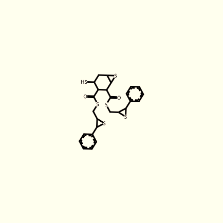 O=C(SCC1SC1c1ccccc1)C1C(S)CC2SC2C1C(=O)SCC1SC1c1ccccc1